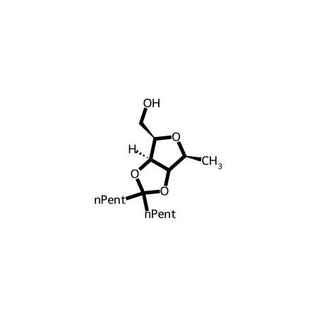 CCCCCC1(CCCCC)OC2[C@H](C)O[C@H](CO)[C@@H]2O1